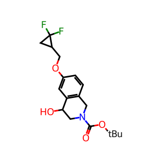 CC(C)(C)OC(=O)N1Cc2ccc(OCC3CC3(F)F)cc2C(O)C1